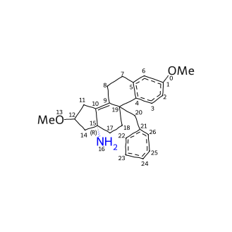 COc1ccc2c(c1)CCC1=C3CC(OC)C[C@]3(N)CCC12Cc1ccccc1